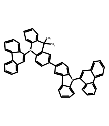 CC1(C)c2ccccc2N(c2cc3ccccc3c3ccccc23)c2ccc(-c3ccc4c(c3)c3ccccc3n4-c3cc4ccccc4c4ccccc34)cc21